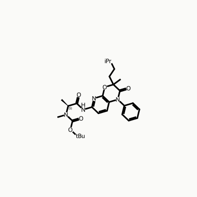 CC(C)CCC1(C)Oc2nc(NC(=O)[C@H](C)N(C)C(=O)OC(C)(C)C)ccc2N(c2ccccc2)C1=O